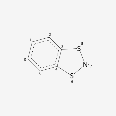 c1ccc2c(c1)S[N]S2